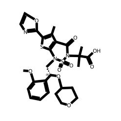 COc1ccccc1[C@H](CN1c2sc(-c3ncco3)c(C)c2C(=O)N(C(C)(C)C(=O)O)S1(=O)=O)OC1CCOCC1